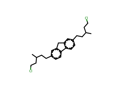 CC(CCCl)CCc1ccc2c(c1)Cc1cc(CCC(C)CCCl)ccc1-2